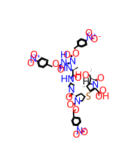 C[C@H](NC(=NC(=O)OCc1ccc([N+](=O)[O-])cc1)NC(=O)OCc1ccc([N+](=O)[O-])cc1)C(=O)NC1CN(C(=O)[C@@H]2C[C@H](SC3=C(C(=O)O)N4C(=O)[C@H]([C@@H](C)O)[C@H]4[C@H]3C)CN2C(=O)OCc2ccc([N+](=O)[O-])cc2)C1